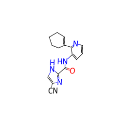 N#Cc1c[nH]c(C(=O)Nc2cccnc2C2=CCCCC2)n1